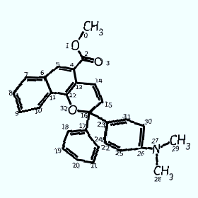 COC(=O)c1cc2ccccc2c2c1C=CC(c1ccccc1)(c1ccc(N(C)C)cc1)O2